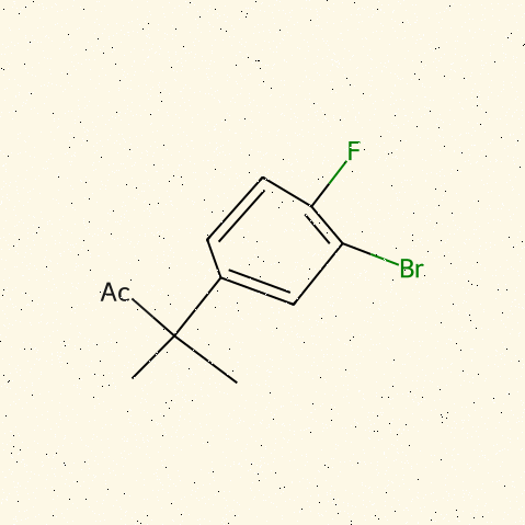 CC(=O)C(C)(C)c1ccc(F)c(Br)c1